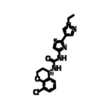 CCn1cc(-c2nc(NC(=O)N[C@H]3CCOc4c(Cl)cccc43)cs2)cn1